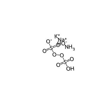 N.O=S(=O)([O-])OOS(=O)(=O)O.[K+].[Na+].[OH-]